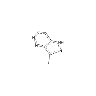 Cc1n[nH]c2ccnnc12